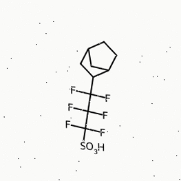 O=S(=O)(O)C(F)(F)C(F)(F)C(F)(F)C1CC2CCC1C2